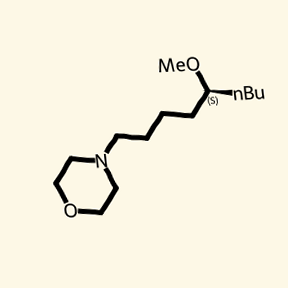 CCCC[C@@H](CCCCN1CCOCC1)OC